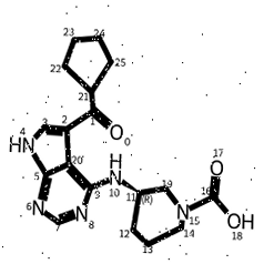 O=C(c1c[nH]c2ncnc(N[C@@H]3CCCN(C(=O)O)C3)c12)C1CCCC1